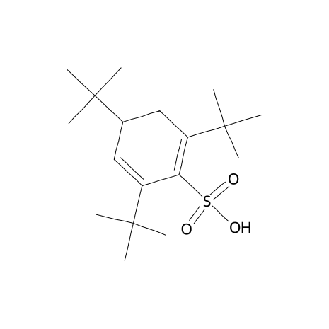 CC(C)(C)C1=CC(C(C)(C)C)CC(C(C)(C)C)=C1S(=O)(=O)O